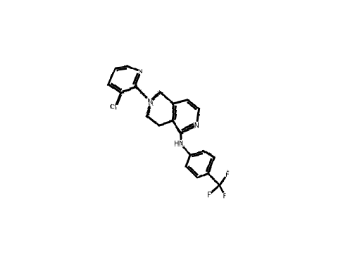 FC(F)(F)c1ccc(Nc2nccc3c2CCN(c2ncccc2Cl)C3)cc1